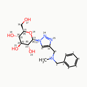 CN(Cc1ccccc1)Cc1cn([C@@H]2O[C@H](CO)[C@@H](O)[C@H](O)[C@H]2O)nn1